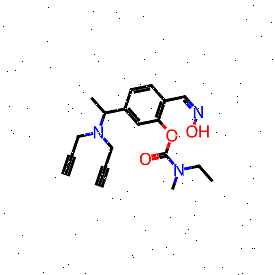 C#CCN(CC#C)C(C)c1ccc(/C=N\O)c(OC(=O)N(C)CC)c1